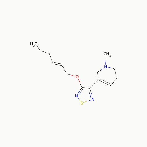 CCCC=CCOc1nsnc1C1=CCCN(C)C1